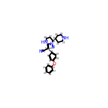 N#Cc1c2n(n[14c]1-c1ccc(Oc3ccccc3)cc1)[C@H](C1CCNCC1)CCN2